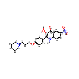 COc1c(-c2ccc(OCCCN3CCCCC3)cc2)n(C)c2ccc([N+](=O)[O-])cc2c1=O